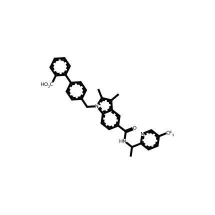 Cc1c(C)n(Cc2ccc(-c3ccccc3C(=O)O)cc2)c2ccc(C(=O)NC(C)c3ccc(C(F)(F)F)cn3)cc12